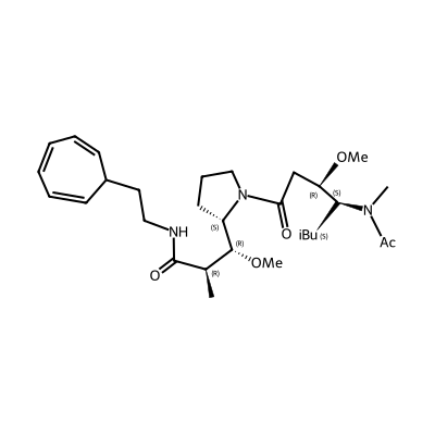 CC[C@H](C)[C@@H]([C@@H](CC(=O)N1CCC[C@H]1[C@H](OC)[C@@H](C)C(=O)NCCC1C=CC=CC=C1)OC)N(C)C(C)=O